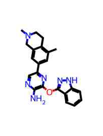 Cc1cc(-c2cnc(N)c(Oc3n[nH]c4ccccc34)n2)cc2c1CCN(C)C2